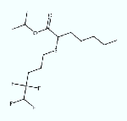 CCCCCC(SCCCC(F)(F)C(F)F)C(=O)OC(C)C